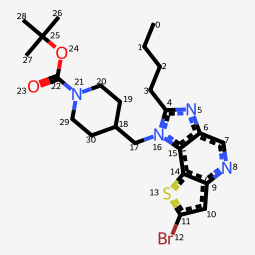 CCCCc1nc2cnc3cc(Br)sc3c2n1CC1CCN(C(=O)OC(C)(C)C)CC1